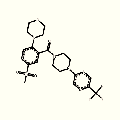 CS(=O)(=O)c1ccc(N2CCOCC2)c(C(=O)N2CCN(c3cnc(C(F)(F)F)cn3)CC2)c1